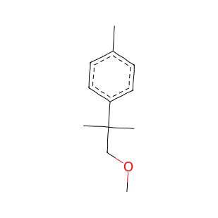 COCC(C)(C)c1ccc(C)cc1